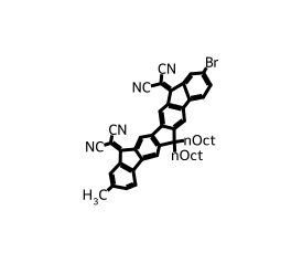 CCCCCCCCC1(CCCCCCCC)c2cc3c(cc2-c2cc4c(cc21)-c1ccc(Br)cc1C4=C(C#N)C#N)C(=C(C#N)C#N)c1cc(C)ccc1-3